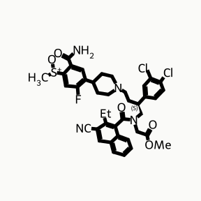 CCc1c(C#N)cc2ccccc2c1C(=O)N(CC(=O)OC)C[C@@H](CCN1CCC(c2cc(C(N)=O)c([S+](C)[O-])cc2F)CC1)c1ccc(Cl)c(Cl)c1